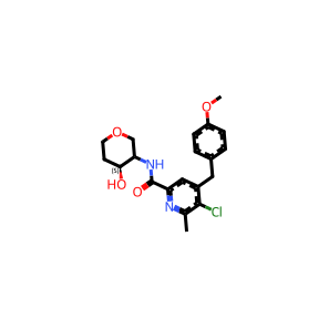 COc1ccc(Cc2cc(C(=O)NC3COCC[C@@H]3O)nc(C)c2Cl)cc1